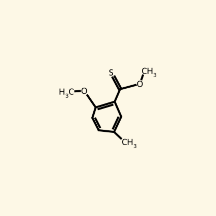 COC(=S)c1cc(C)ccc1OC